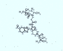 CC(C)N(CCC(=O)Nc1sc2c(c1-c1nc3cc(C=O)ccc3s1)CCN(C(=O)OC(C)(C)C)C2)C(=O)OC(C)(C)C